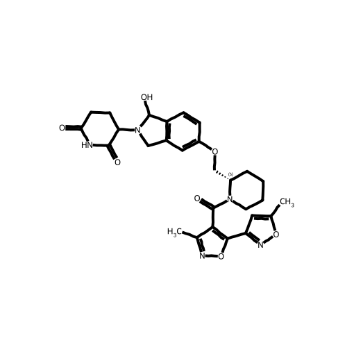 Cc1cc(-c2onc(C)c2C(=O)N2CCCC[C@H]2COc2ccc3c(c2)CN(C2CCC(=O)NC2=O)C3O)no1